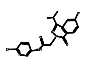 CC(C)c1nn(CC(=O)Nc2ccc(Cl)nc2)c(=O)c2ccc(Br)cc12